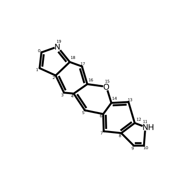 c1cc2cc3cc4cc5cc[nH]c5cc4oc3cc2n1